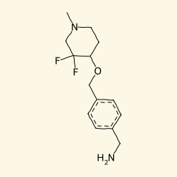 CN1CCC(OCc2ccc(CN)cc2)C(F)(F)C1